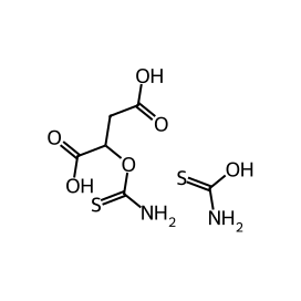 NC(=S)OC(CC(=O)O)C(=O)O.NC(O)=S